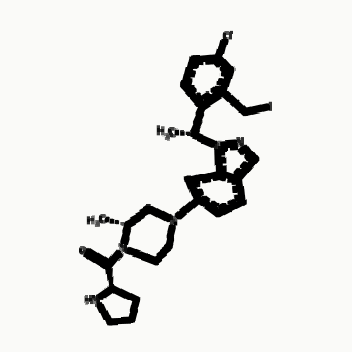 C[C@@H]1CN(c2ccc3cnn([C@H](C)c4ccc(Cl)cc4CI)c3c2)CCN1C(=O)[C@H]1CCCN1